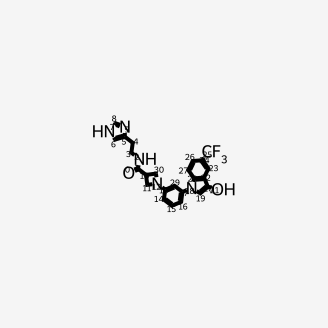 O=C(NCCc1c[nH]cn1)C1CN(c2cccc(-n3cc(O)c4cc(C(F)(F)F)ccc43)c2)C1